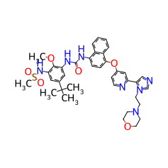 COc1c(NC(=O)Nc2ccc(Oc3ccnc(-c4cncn4CCN4CCOCC4)c3)c3ccccc23)cc(C(C)(C)C)cc1NS(C)(=O)=O